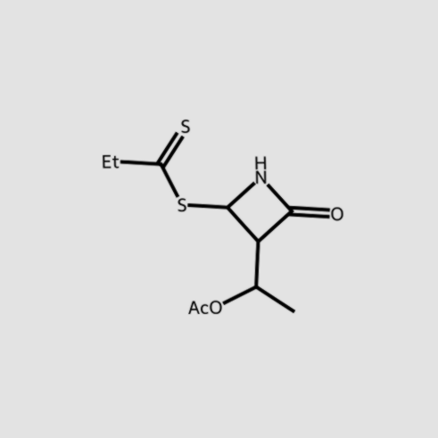 CCC(=S)SC1NC(=O)C1C(C)OC(C)=O